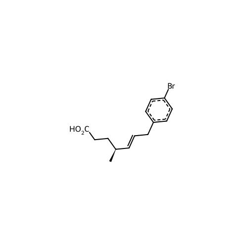 C[C@H](/C=C/Cc1ccc(Br)cc1)CCC(=O)O